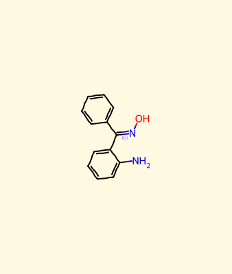 Nc1ccccc1/C(=N/O)c1ccccc1